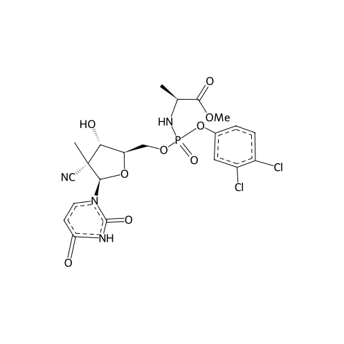 COC(=O)[C@H](C)NP(=O)(OC[C@H]1O[C@@H](n2ccc(=O)[nH]c2=O)[C@](C)(C#N)[C@@H]1O)Oc1ccc(Cl)c(Cl)c1